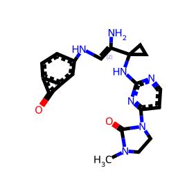 CN1CCN(c2ccnc(NC3(/C(N)=C/Nc4ccc5c(=O)c5c4)CC3)n2)C1=O